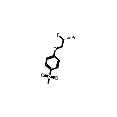 CCC[C@@H](F)COc1ccc(S(C)(=O)=O)cc1